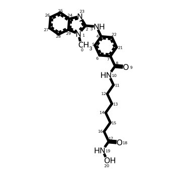 Cn1c(Nc2ccc(C(=O)NCCCCCCC(=O)NO)cc2)nc2ccccc21